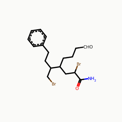 NC(=O)C(Br)CC(CCCC=O)C(CBr)CCc1ccccc1